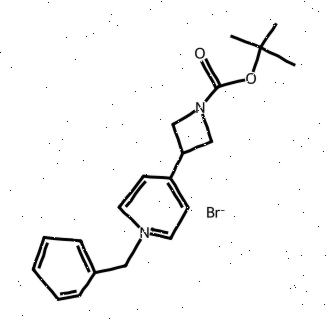 CC(C)(C)OC(=O)N1CC(c2cc[n+](Cc3ccccc3)cc2)C1.[Br-]